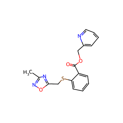 Cc1noc(CSc2ccccc2C(=O)OCc2ccccn2)n1